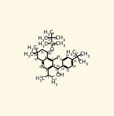 CC(C)c1nc2c(c(I)c1[C@@H](O)c1ccc(C(C)(C)C)cc1)[C@@H](O[Si](C)(C)C(C)(C)C)CC(C)(C)C2